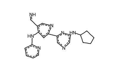 N=Cc1cnc(-c2cncc(NC3CCCC3)n2)cc1Nc1ccccn1